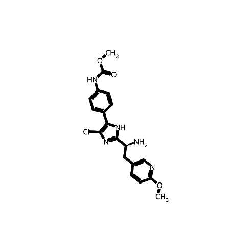 COC(=O)Nc1ccc(-c2[nH]c([C@@H](N)Cc3ccc(OC)nc3)nc2Cl)cc1